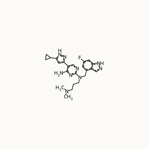 CN(C)CCCN(Cc1cc(F)cc2[nH]ncc12)c1ncc(-c2cc(C3CC3)[nH]n2)c(N)n1